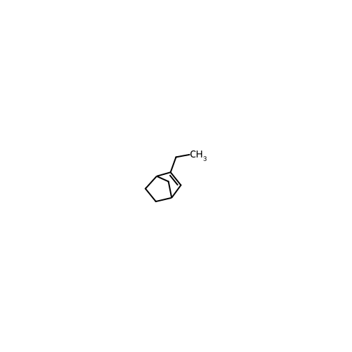 CCC1=CC2CCC1C2